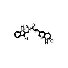 CCc1c(CN(C)C(=O)/C=C/c2cnc3c(c2)CCC(=O)N3)[nH]c2ccccc12